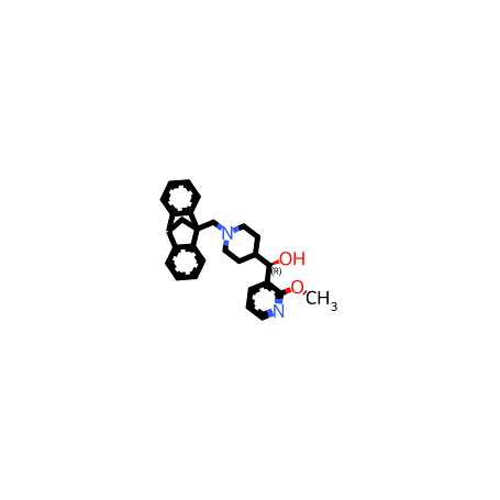 COc1ncccc1[C@H](O)C1CCN(CC23CC(c4ccccc42)c2ccccc23)CC1